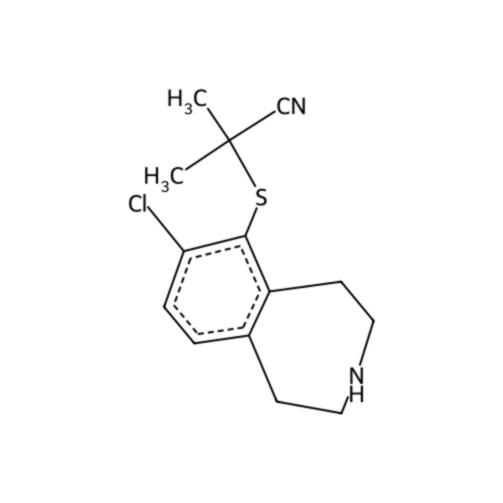 CC(C)(C#N)Sc1c(Cl)ccc2c1CCNCC2